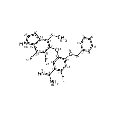 CSc1c(Oc2cc(C(=N)N)c(F)cc2OCc2ccccc2)c(F)c(F)c2[nH]ccc12